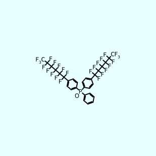 O=P(c1ccccc1)(c1ccc(C(F)(F)C(F)(F)C(F)(F)C(F)(F)C(F)(F)C(F)(F)F)cc1)c1ccc(C(F)(F)C(F)(F)C(F)(F)C(F)(F)C(F)(F)C(F)(F)F)cc1